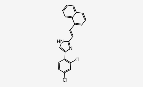 Clc1ccc(-c2c[nH]c(C=Cc3cccc4ccccc34)n2)c(Cl)c1